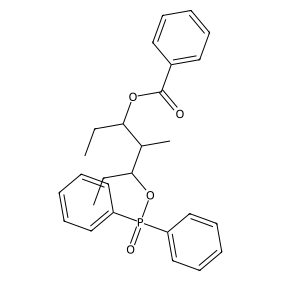 CCC(OC(=O)c1ccccc1)C(C)C(CC)OP(=O)(c1ccccc1)c1ccccc1